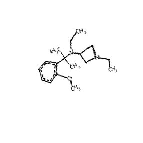 CCN1CC(N(CC)C(C)(C)c2ccccc2OC)C1